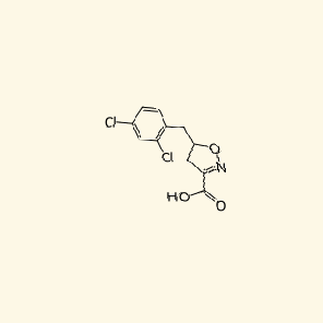 O=C(O)C1=NOC(Cc2ccc(Cl)cc2Cl)C1